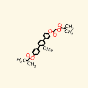 C=C(C)C(=O)OCC(=O)Oc1ccc(-c2ccc(-c3ccc(OC(=O)C(=C)C)cc3)c(OC)c2)cc1